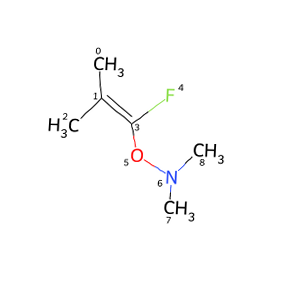 CC(C)=C(F)ON(C)C